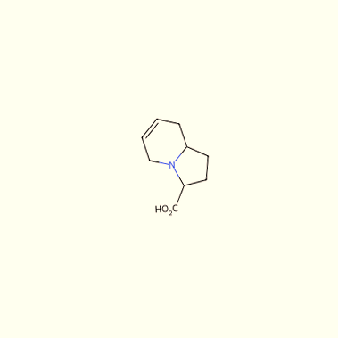 O=C(O)C1CCC2CC=CCN21